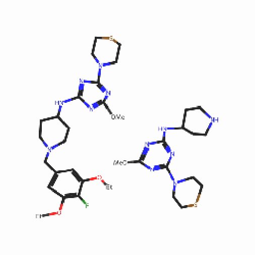 CCOc1cc(CN2CCC(Nc3nc(OC)nc(N4CCSCC4)n3)CC2)cc(OCC)c1F.COc1nc(NC2CCNCC2)nc(N2CCSCC2)n1